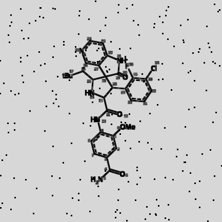 COc1cc(C(N)=O)ccc1NC(=O)C1NC(CC(C)(C)C)C2(C(=O)Nc3ccncc32)C1c1cccc(Cl)c1F